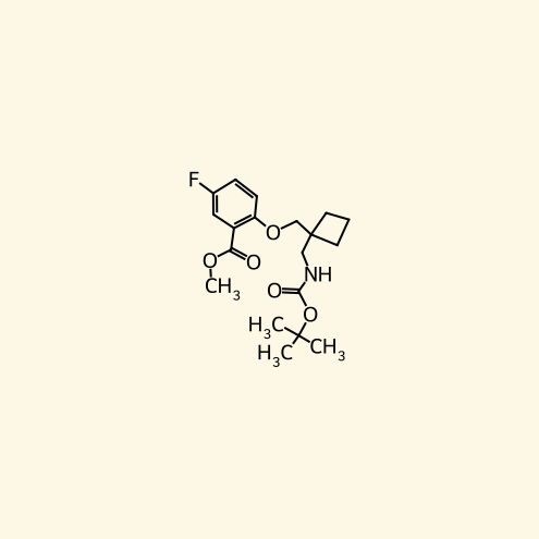 COC(=O)c1cc(F)ccc1OCC1(CNC(=O)OC(C)(C)C)CCC1